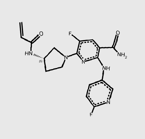 C=CC(=O)N[C@H]1CCN(c2nc(Nc3ccc(F)nc3)c(C(N)=O)cc2F)C1